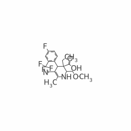 CCC1(C(=O)O)C(COC)NC(C)=C(C#N)C1c1ccc(F)cc1C(F)(F)F